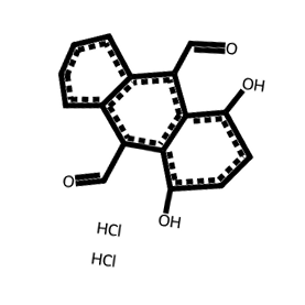 Cl.Cl.O=Cc1c2ccccc2c(C=O)c2c(O)ccc(O)c12